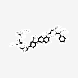 CCCN(Cc1ncc(-c2ccc3c(c2)COc2cc4c(ccc5nc(CN(CCC)C(=O)[C@H](N)c6ccccc6)[nH]c54)cc2-3)[nH]1)C(=O)CNC(=O)OC